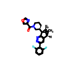 CC1(C)[C@H]2CC[C@]1([C@H]1CCCN(C(=O)c3cocn3)C1)c1nnc(-c3c(F)cccc3F)cc12